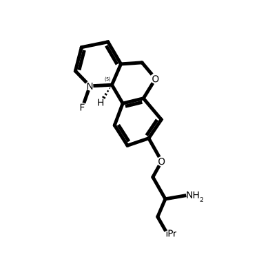 CC(C)CC(N)COc1ccc2c(c1)OCC1=CC=CN(F)[C@@H]12